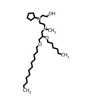 CCCCCCCCCCCCOCC(CN(C)CCN(CCO)C1CCCC1)OCCCCCC